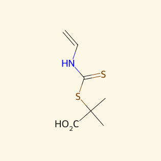 C=CNC(=S)SC(C)(C)C(=O)O